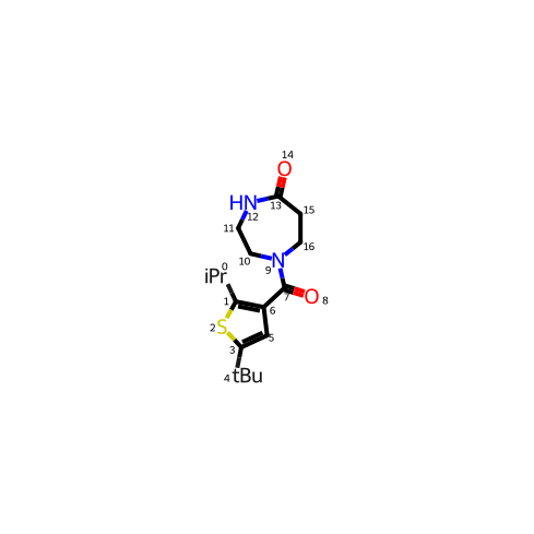 CC(C)c1sc(C(C)(C)C)cc1C(=O)N1CCNC(=O)CC1